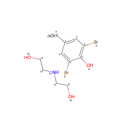 CCCCCCCCc1cc(Br)c(O)c(Br)c1.OCCNCCO